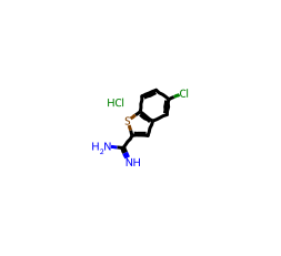 Cl.N=C(N)c1cc2cc(Cl)ccc2s1